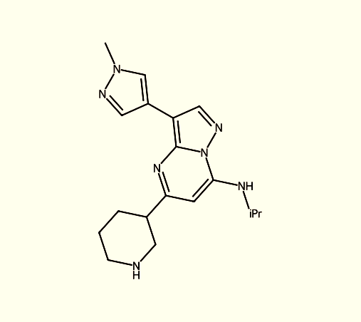 CC(C)Nc1cc(C2CCCNC2)nc2c(-c3cnn(C)c3)cnn12